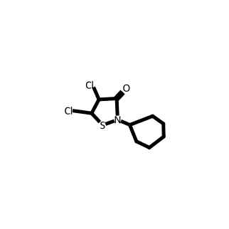 O=C1C(Cl)C(Cl)SN1C1CCCCC1